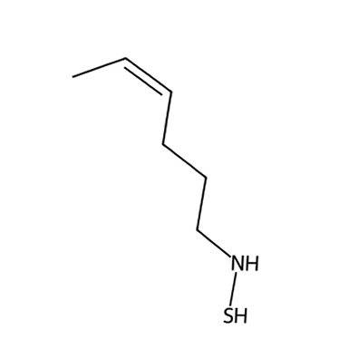 C/C=C\CCCNS